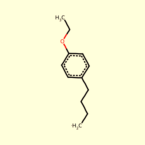 [CH2]CCCc1ccc(OCC)cc1